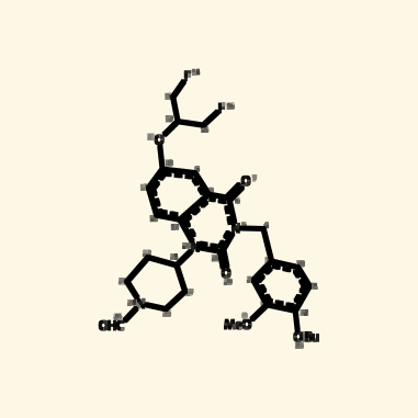 COc1cc(Cn2c(=O)c3cc(OC(CF)CF)ccc3n(C3CCN(C=O)CC3)c2=O)ccc1OCC(C)C